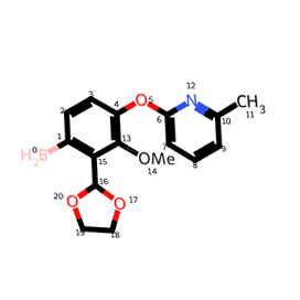 Bc1ccc(Oc2cccc(C)n2)c(OC)c1C1OCCO1